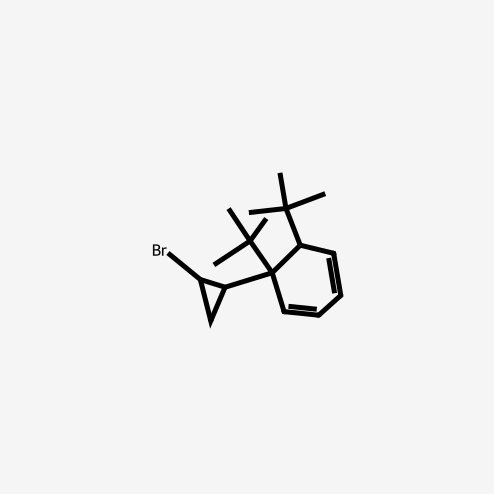 CC(C)(C)C1C=CC=CC1(C1CC1Br)C(C)(C)C